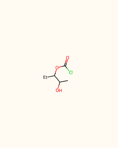 CCC(OC(=O)Cl)C(C)O